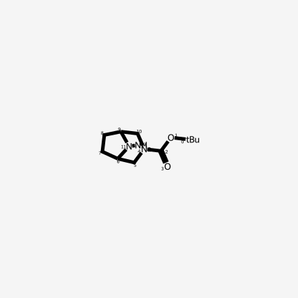 CC(C)(C)OC(=O)N1CC2CCC(C1)N2N